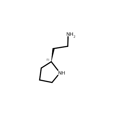 NCC[C@@H]1CCCN1